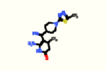 N=C(C1=C(N)NC(=O)CC1C(F)(F)F)C1CCN(c2nnc(C(F)(F)F)s2)CC1